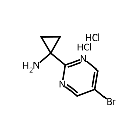 Cl.Cl.NC1(c2ncc(Br)cn2)CC1